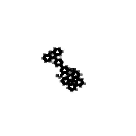 Cc1cc(-c2ccc(N3c4ccccc4Oc4ccccc43)cc2)cc(C)c1B1c2ccccc2[Si](c2ccccc2)(c2ccccc2)c2ccccc21